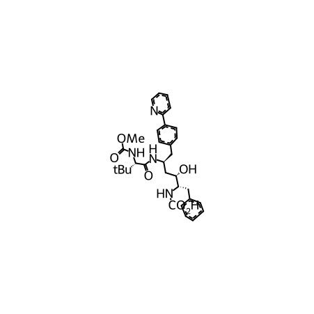 COC(=O)N[C@H](C(=O)N[C@@H](Cc1ccc(-c2ccccn2)cc1)C[C@H](O)[C@H](Cc1ccccc1)NC(=O)O)C(C)(C)C